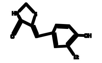 CCc1cc(/C=C2\SCNC2=O)ccc1O